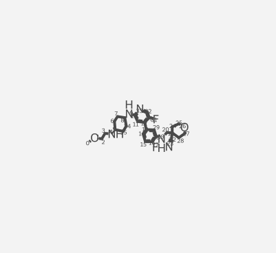 COCCN[C@H]1CC[C@H](Nc2cc(-c3ccc(F)c(NCC4(C#N)CCOCC4)c3)c(F)cn2)CC1